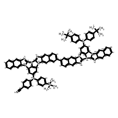 CC(C)(C)c1ccc(N(c2ccc(C(C)(C)C)cc2)c2cc3c4c(c2)n2c5cc6cc(-c7ccc8cc9nc%10n(c9cc8c7)c7cc(N(c8ccc(C#N)cc8)c8ccc([Si](C)(C)C)cc8)cc8c7n%10c7nc9cc%10ccccc%10cc9n87)ccc6cc5nc2n4c2nc4cc5ccccc5cc4n32)cc1